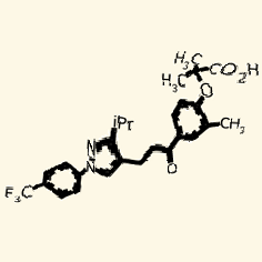 Cc1cc(C(=O)CCc2cn(-c3ccc(C(F)(F)F)cc3)nc2C(C)C)ccc1OC(C)(C)C(=O)O